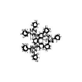 c1ccc(C2=NC(n3c4ccccc4c4cc5c(cc43)c3c4c6ccccc6n(-c6nc(-c7ccccc7)nc(-c7ccccc7)n6)c4ccc3n5C3N=C(c4ccccc4)N=C(c4ccccc4)N3)NC(c3ccccc3)=N2)cc1